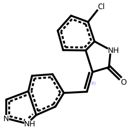 O=C1Nc2c(Cl)cccc2/C1=C\c1ccc2cn[nH]c2c1